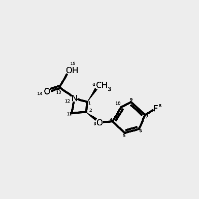 C[C@H]1[C@@H](Oc2ccc(F)cc2)CN1C(=O)O